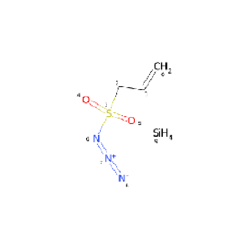 C=CCS(=O)(=O)N=[N+]=[N-].[SiH4]